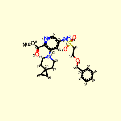 COC(=O)c1ncc(NS(=O)(=O)CCOCc2ccccc2)cc1N1CCC2(CC1)CC2